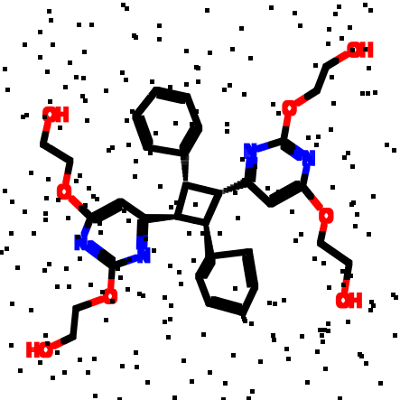 OCCOc1cc([C@H]2[C@H](c3ccccc3)[C@H](c3cc(OCCO)nc(OCCO)n3)[C@H]2c2ccccc2)nc(OCCO)n1